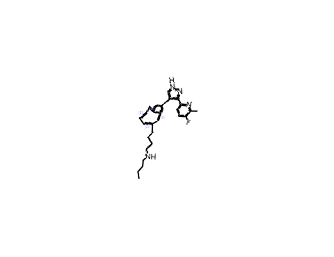 CCCCNCCCCC1=C/C=C/C=c2\ccc(-c3c[nH]nc3-c3ccc(F)c(C)n3)c\c2=C\1